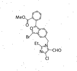 CCc1nc(Cl)c(C=O)n1Cc1ccc2c(-c3ccccc3C(=O)OC)oc(Br)c2c1